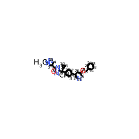 Cn1cc(-c2nc(C(C)(c3ccc(-c4cncc(OCc5ccccc5)c4)cc3)C3CC3)no2)cn1